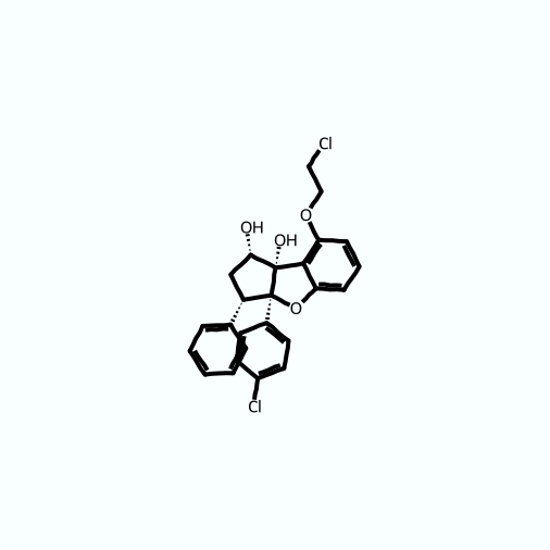 O[C@H]1C[C@@H](c2ccccc2)[C@]2(c3ccc(Cl)cc3)Oc3cccc(OCCCl)c3[C@]12O